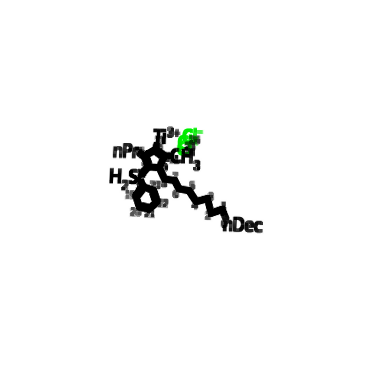 CCCCCCCCCCCCCCCCCCC1C(C)=[C]([Ti+3])C(CCC)=C1[SiH2]c1ccccc1.[Cl-].[Cl-].[Cl-]